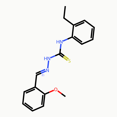 CCc1ccccc1NC(=S)N/N=C/c1ccccc1OC